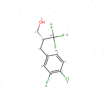 OC[C@@H](Cc1ccc(Cl)c(F)c1)C(F)(F)F